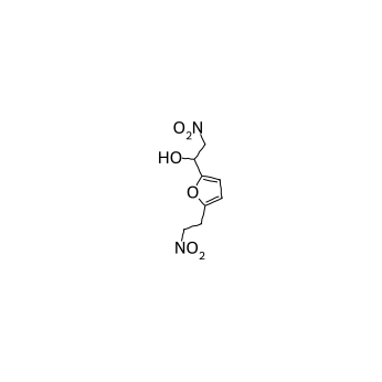 O=[N+]([O-])CCc1ccc(C(O)C[N+](=O)[O-])o1